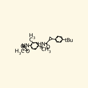 Cc1cc([C@@H](C)NC(=O)C2CC2c2ccc(C(C)(C)C)cc2)ccc1NS(C)(=O)=O